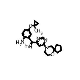 CC1(Oc2ccc(N)c(C(=N)c3cc(N4CCOC5(CCCC5)C4)ncn3)c2)CC1